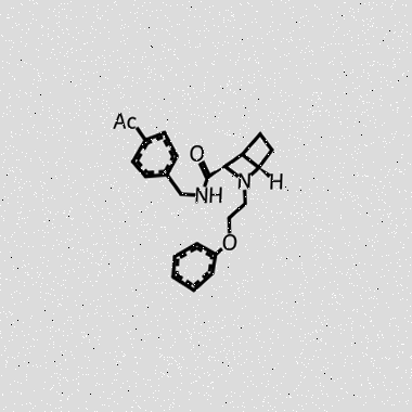 CC(=O)c1ccc(CNC(=O)[C@H]2C3CC[C@@H]3N2CCOc2ccccc2)cc1